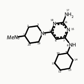 CNC1CCN(c2cc(NC3CCCCC3)nc(N)n2)CC1